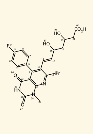 CC(C)c1nc2c(c(-c3ccc(F)cc3)c1C=CC(O)CC(O)CC(=O)O)c(=O)[nH]c(=O)n2C